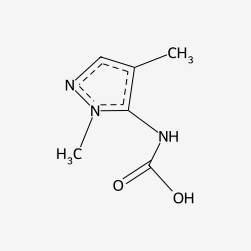 Cc1cnn(C)c1NC(=O)O